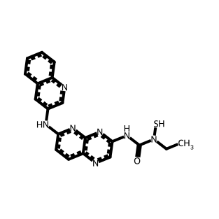 CCN(S)C(=O)Nc1cnc2ccc(Nc3cnc4ccccc4c3)nc2n1